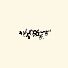 C=CC(C)[C@H](NC(=O)OC(C)(C)C)C(=O)/C=C\[C@H]1C[C@@H]2C[C@@H](C(=O)O)[C@@H](CCCB(O)O)[C@@H]2C1